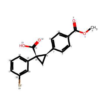 COC(=O)c1ccc([C@H]2C[C@]2(C(=O)O)c2cccc(Br)c2)cc1